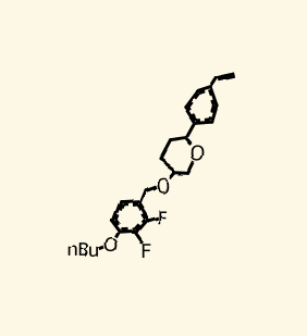 C=Cc1ccc(C2CCC(OCc3ccc(OCCCC)c(F)c3F)CO2)cc1